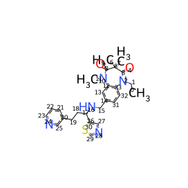 CCN1C(=O)C(C)(C)C(=O)N(C)c2cc(CNC(CCc3cccnc3)c3cncs3)ccc21